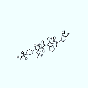 Cc1c(C(=O)C(=O)NC2(C(O)N3CCN(S(C)(=O)=O)CC3)CC(F)(F)C2)c2n(c1C(=O)Nc1ccc(F)c(Cl)c1)CCC2